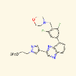 COCCn1cc(-c2cnc3cccc(-c4cc(F)c(CN5CCOCC5)c(F)c4)c3n2)cn1